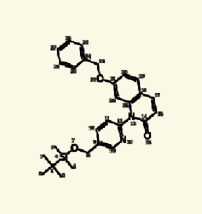 CC(C)(C)[Si](C)(C)OCc1ccc(-n2c(=O)ccc3ccc(OCc4ccccc4)cc32)nc1